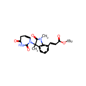 CN1C(=O)C(C)(N2C=CCC(=O)NC2=O)c2cccc(/C=C/C(=O)OC(C)(C)C)c21